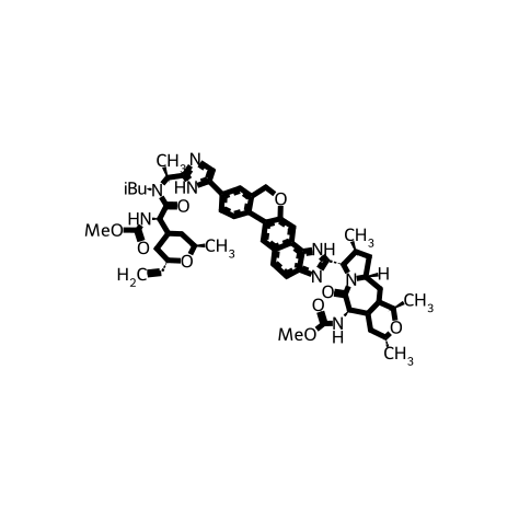 C=C[C@@H]1CC([C@H](NC(=O)OC)C(=O)N([C@@H](C)CC)[C@@H](C)c2ncc(-c3ccc4c(c3)COc3cc5c(ccc6nc([C@@H]7[C@@H](C)C[C@@H]8CC9C(C[C@@H](C)O[C@@H]9C)[C@H](NC(=O)OC)C(=O)N87)[nH]c65)cc3-4)[nH]2)C[C@@H](C)O1